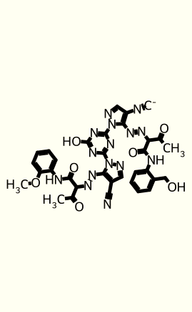 [C-]#[N+]c1cnn(-c2nc(O)nc(-n3ncc(C#N)c3N=NC(C(C)=O)C(=O)Nc3ccccc3OC)n2)c1N=NC(C(C)=O)C(=O)Nc1ccccc1CO